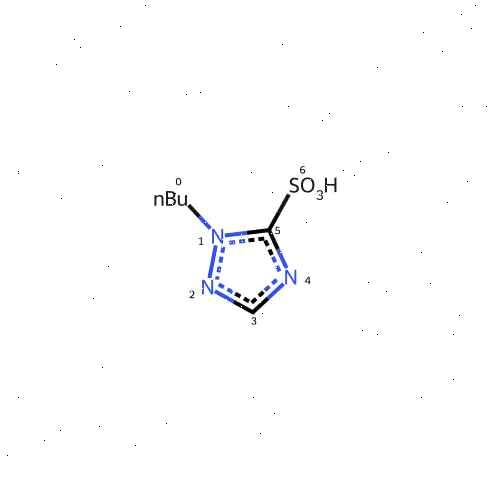 CCCCn1ncnc1S(=O)(=O)O